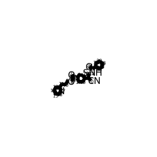 N#CC1C2=C(CN(C(=O)OCCCc3ccccn3)CC2)SC1NC(=O)c1ccccc1